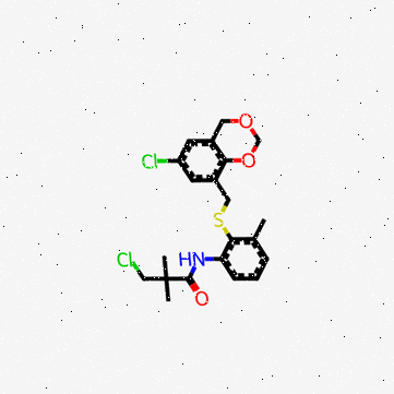 Cc1cccc(NC(=O)C(C)(C)CCl)c1SCc1cc(Cl)cc2c1OCOC2